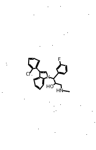 CNCC(O)C(c1cccc(F)c1)n1cc(-c2ccccc2Cl)c2ccccc21